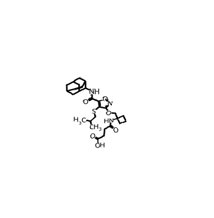 CC(C)CSc1c(OCC2(NC(=O)CCC(=O)O)CCC2)noc1C(=O)NC1C2CC3CC(C2)CC1C3